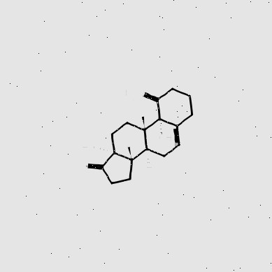 C=C1CCCC2=CC[C@@H]3[C@H](CC[C@]4(C)C(=O)CC[C@@H]34)[C@@]12C